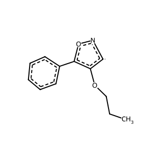 CCCOc1[c]noc1-c1ccccc1